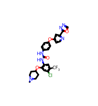 CN1CCC(Oc2cc(Cl)c(C(F)(F)F)cc2NC(=O)Nc2ccc(Oc3ccnc(-c4nnco4)c3)cc2)CC1